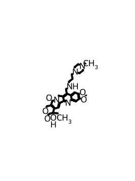 CC[C@@]1(O)C(=O)OCc2c1cc1n(c2=O)Cc2c-1nc1cc3c(cc1c2CNCCCN1CCN(C)CC1)OCO3